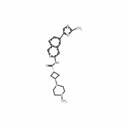 Cc1ncc(-c2ccc3cnc(NC(=O)[C@H]4C[C@H](N5CCN(C)CC5)C4)cc3c2)o1